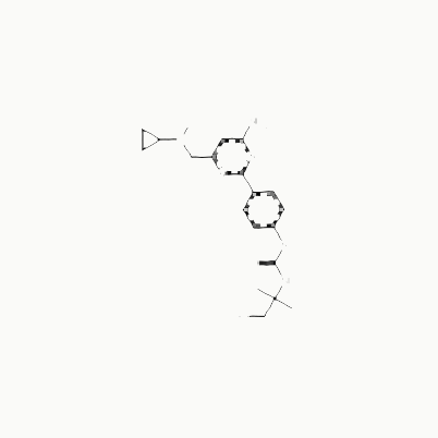 CC(C)(CO)NC(=O)Nc1ccc(-c2nc(N)cc(C[S+]([O-])C3CC3)n2)cc1